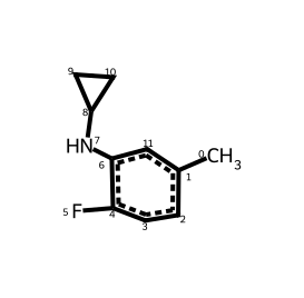 Cc1ccc(F)c(NC2CC2)c1